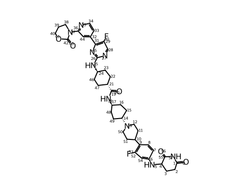 O=C1CCC(Nc2ccc(C3CCN([C@H]4CC[C@H](NC(=O)[C@H]5CC[C@H](Nc6ncc(F)c(-c7ccnc(N8CCCOC8=O)c7)n6)CC5)CC4)CC3)c(F)c2)C(=O)N1